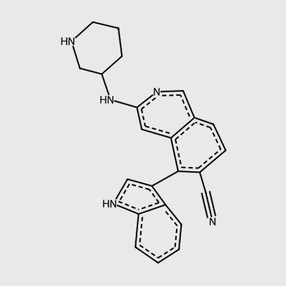 N#Cc1ccc2cnc(NC3CCCNC3)cc2c1-c1c[nH]c2ccccc12